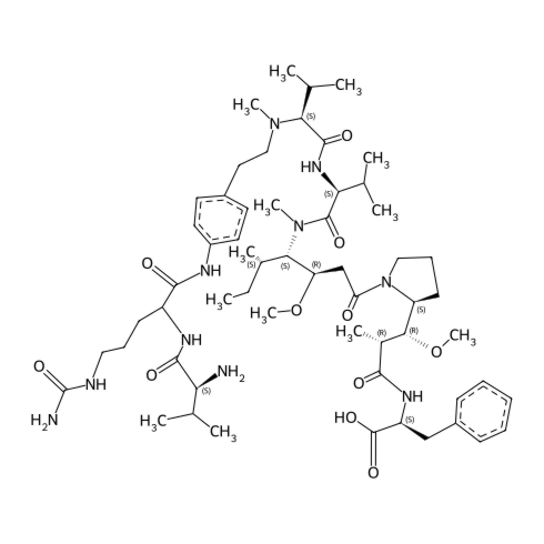 CC[C@H](C)[C@@H]([C@@H](CC(=O)N1CCC[C@H]1[C@H](OC)[C@@H](C)C(=O)N[C@@H](Cc1ccccc1)C(=O)O)OC)N(C)C(=O)[C@@H](NC(=O)[C@H](C(C)C)N(C)CCc1ccc(NC(=O)C(CCCNC(N)=O)NC(=O)[C@@H](N)C(C)C)cc1)C(C)C